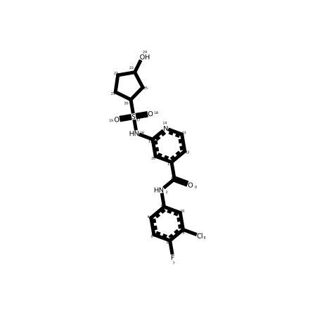 O=C(Nc1ccc(F)c(Cl)c1)c1ccnc(NS(=O)(=O)C2CCC(O)C2)c1